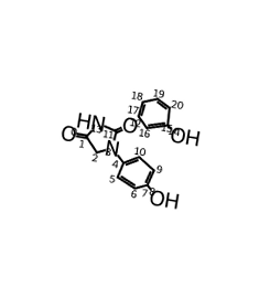 O=C1CN(c2ccc(O)cc2)C(=O)N1.Oc1ccccc1